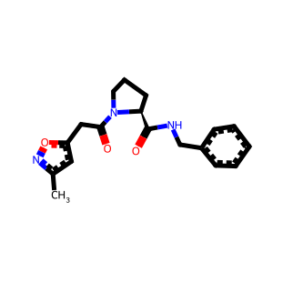 Cc1cc(CC(=O)N2CCC[C@H]2C(=O)NCc2ccccc2)on1